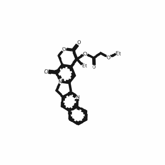 CCOCC(=O)OC1(CC)C(=O)OCc2c1cc1n(c2=O)Cc2cc3ccccc3nc2-1